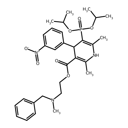 CC1=C(C(=O)OCCN(C)Cc2ccccc2)C(c2cccc([N+](=O)[O-])c2)C(P(=O)(OC(C)C)OC(C)C)=C(C)N1